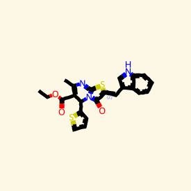 CCOC(=O)C1=C(C)N=c2s/c(=C\c3c[nH]c4ccccc34)c(=O)n2C1c1cccs1